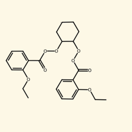 CCOc1ccccc1C(=O)OO[C]1CC[CH]CC1OOC(=O)c1ccccc1OCC